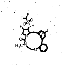 CN1CCOc2ccccc2-c2cc(F)cc(c2F)CC2C(NS(=O)(=O)C(F)F)C(F)CN2C1=O